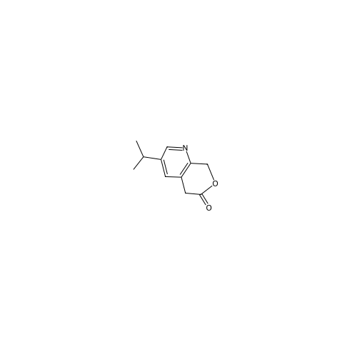 CC(C)c1cnc2c(c1)CC(=O)OC2